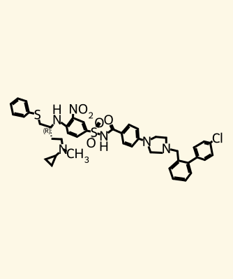 CN(CC[C@H](CSc1ccccc1)Nc1ccc(S(=O)(=O)NC(=O)c2ccc(N3CCN(Cc4ccccc4-c4ccc(Cl)cc4)CC3)cc2)cc1[N+](=O)[O-])C1CC1